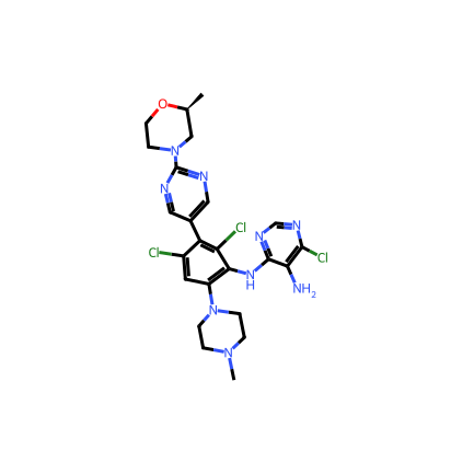 C[C@H]1CN(c2ncc(-c3c(Cl)cc(N4CCN(C)CC4)c(Nc4ncnc(Cl)c4N)c3Cl)cn2)CCO1